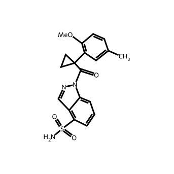 COc1ccc(C)cc1C1(C(=O)n2ncc3c(S(N)(=O)=O)cccc32)CC1